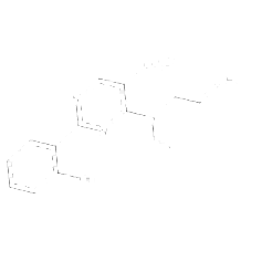 C=CCN(C)c1nc(-c2ccccc2O)ncc1C(=O)OCC